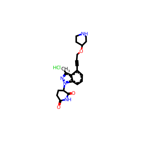 Cc1nn(C2CCC(=O)NC2=O)c2cccc(C#CCOC3CCNCC3)c12.Cl